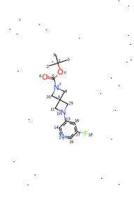 CC(C)(C)OC(=O)N1CC2(C1)CN(c1cncc(F)c1)C2